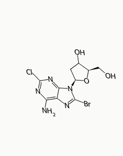 Nc1nc(Cl)nc2c1nc(Br)n2[C@H]1CC(O)[C@@H](CO)O1